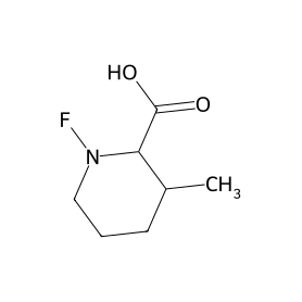 CC1CCCN(F)C1C(=O)O